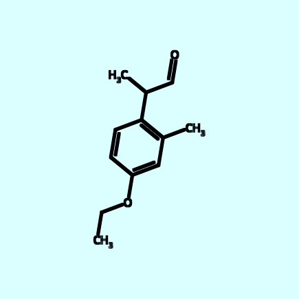 CCOc1ccc(C(C)C=O)c(C)c1